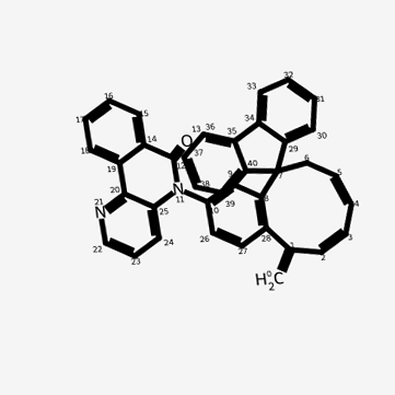 C=C1/C=C\C=C/CC2(c3cc(-n4c(=O)c5ccccc5c5ncccc54)ccc31)c1ccccc1-c1ccccc12